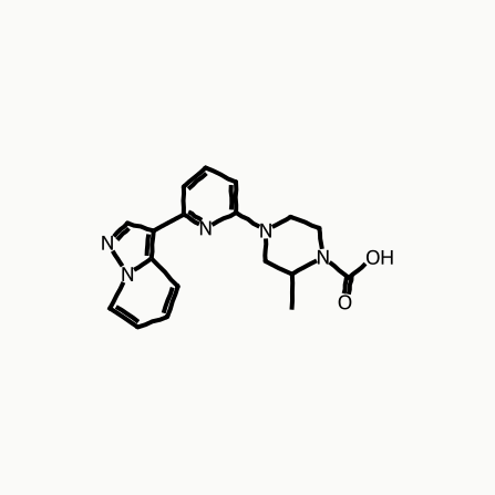 CC1CN(c2cccc(-c3cnn4ccccc34)n2)CCN1C(=O)O